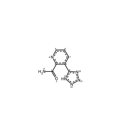 NC(=O)c1ncccc1-c1nnn[nH]1